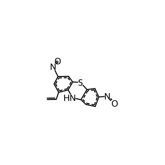 C=Cc1cc(N=O)cc2c1Nc1ccc(N=O)cc1S2